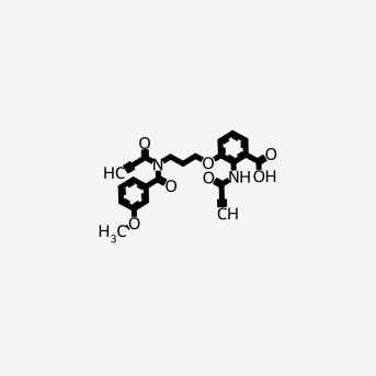 C#CC(=O)Nc1c(OCCCN(C(=O)C#C)C(=O)c2cccc(OC)c2)cccc1C(=O)O